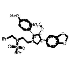 CCCS(=O)(=O)N(CCN1C[C@H](c2ccc3c(c2)OCO3)[C@H](OC(=O)O)[C@H]1c1ccc(OC)cc1)CC(C)C